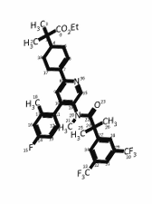 CCOC(=O)C(C)(C)C1CC=C(c2cc(-c3ccc(F)cc3C)c(N(C)C(=O)C(C)(C)c3cc(C(F)(F)F)cc(C(F)(F)F)c3)cn2)CC1